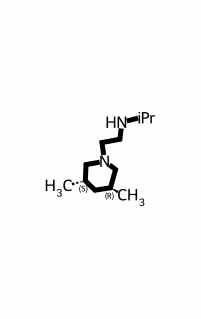 CC(C)NCCN1C[C@H](C)C[C@H](C)C1